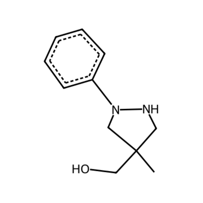 CC1(CO)CNN(c2ccccc2)C1